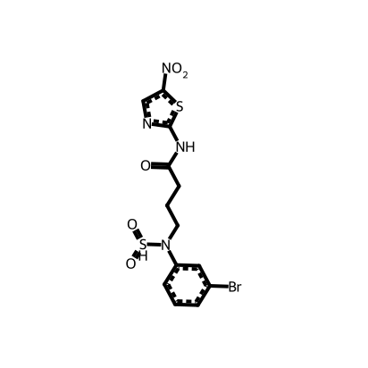 O=C(CCCN(c1cccc(Br)c1)[SH](=O)=O)Nc1ncc([N+](=O)[O-])s1